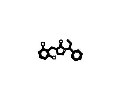 CCC(c1ccccc1)N1CCC(Cc2c(Cl)cccc2Cl)C1=O